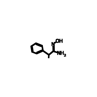 CC(C(N)=NO)c1ccccc1